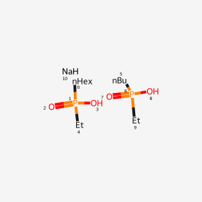 CCCCCCP(=O)(O)CC.CCCCP(=O)(O)CC.[NaH]